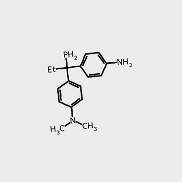 CCC(P)(c1ccc(N)cc1)c1ccc(N(C)C)cc1